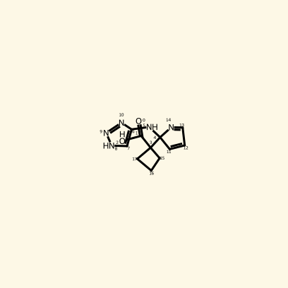 O=C(O)C1(C2(Nc3c[nH]nn3)C=CC=N2)CCC1